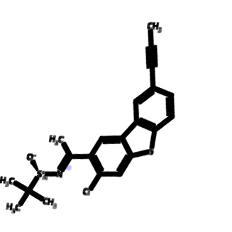 CC#Cc1ccc2sc3cc(Cl)c(/C(C)=N/[S@+]([O-])C(C)(C)C)cc3c2c1